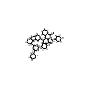 O=c1c2ccccc2c2c(-c3ccc4oc5cccc(-c6nc(-c7ccccc7)nc(-c7ccccc7)n6)c5c4c3)ccc3nc(-c4ccccc4)n1c32